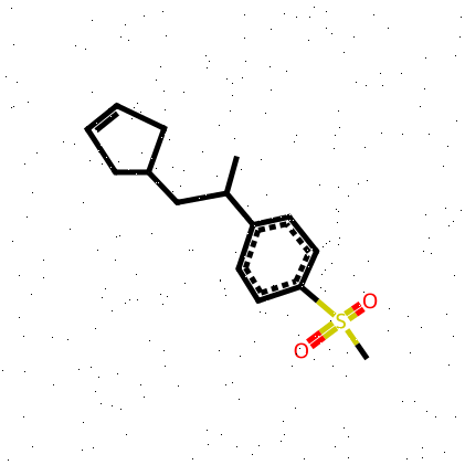 CC(CC1CC=CC1)c1ccc(S(C)(=O)=O)cc1